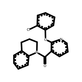 O=C(c1cccnc1Oc1ccccc1Cl)N1CCCc2ccccc21